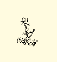 CC1(C)C(=O)N(c2ccc(F)c(C(F)(F)F)c2)C(=O)N1Cc1ccc(F)cc1Nc1ccc(N2CC(C(=O)O)CC2=O)cc1